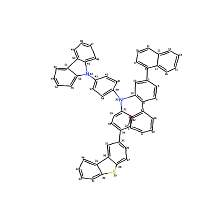 c1ccc(-c2ccc(-c3cccc4ccccc34)cc2N(c2ccc(-c3ccc4sc5ccccc5c4c3)cc2)c2ccc(-n3c4ccccc4c4ccccc43)cc2)cc1